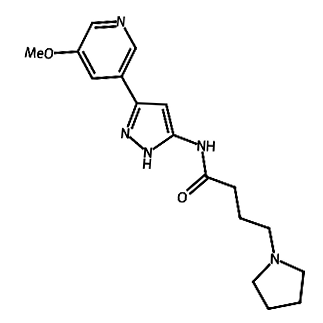 COc1cncc(-c2cc(NC(=O)CCCN3CCCC3)[nH]n2)c1